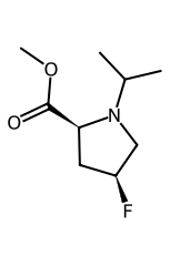 COC(=O)[C@@H]1C[C@H](F)CN1C(C)C